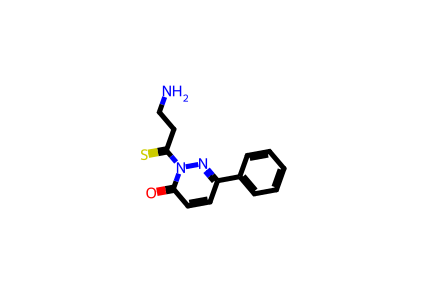 NCCC(=S)n1nc(-c2ccccc2)ccc1=O